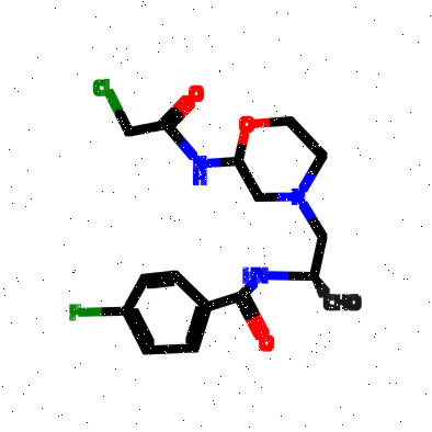 O=C[C@H](CN1CCOC(NC(=O)CCl)C1)NC(=O)c1ccc(F)cc1